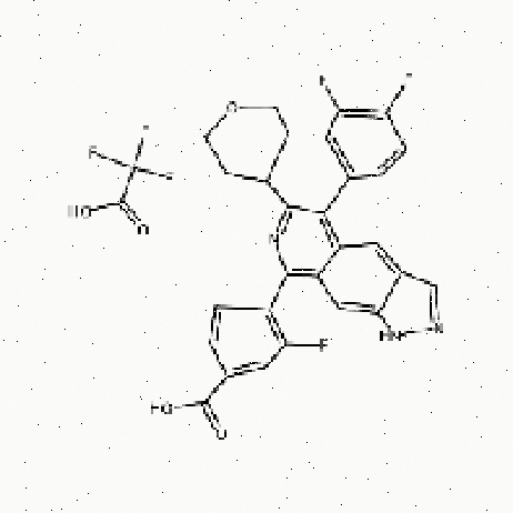 O=C(O)C(F)(F)F.O=C(O)c1ccc(-c2nc(C3CCOCC3)c(-c3ccc(F)c(F)c3)c3cc4cn[nH]c4cc23)c(F)c1